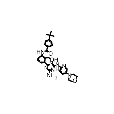 CC(C)(C)c1ccc(C(=O)Nc2cccc(-c3nc(N)nc(Nc4ccc(N5CCOCC5)cn4)n3)c2CO)cc1